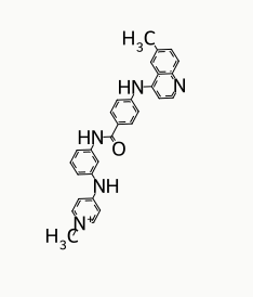 Cc1ccc2nccc(Nc3ccc(C(=O)Nc4cccc(Nc5cc[n+](C)cc5)c4)cc3)c2c1